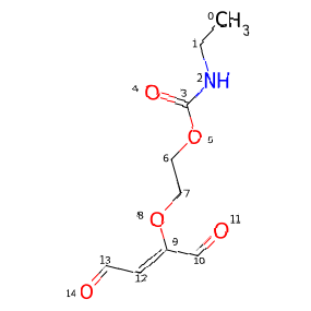 CCNC(=O)OCCO/C(C=O)=C\C=O